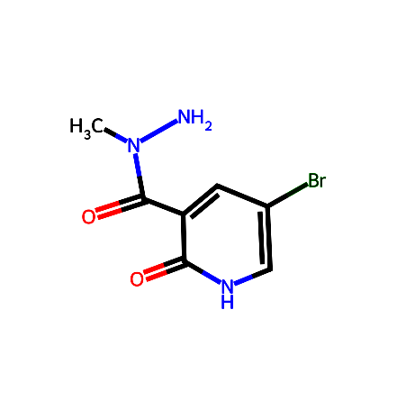 CN(N)C(=O)c1cc(Br)c[nH]c1=O